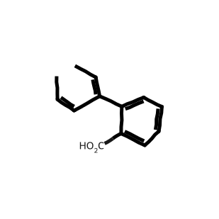 C/C=C\C(=C/C)c1ccccc1C(=O)O